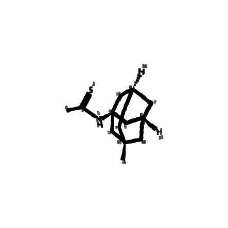 CC(=S)N[C@@]12C[C@@H]3C[C@@H](C[C@](C)(C3)C1)C2